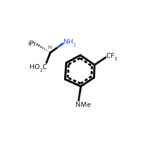 CC(C)[C@H](N)C(=O)O.CNc1cccc(C(F)(F)F)c1